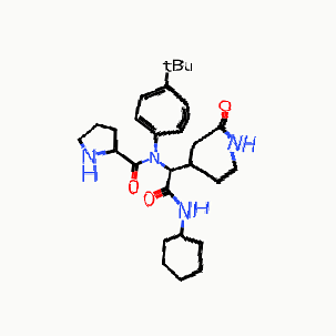 CC(C)(C)c1ccc(N(C(=O)C2CCCN2)C(C(=O)NC2CCCCC2)C2CCNC(=O)C2)cc1